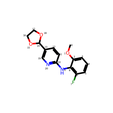 COc1cccc(F)c1Nc1ccc(C2OCCO2)cn1